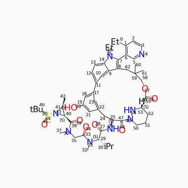 CCc1ccncc1-c1c2c3cc(ccc3n1CC)-c1cc(O)cc(c1)C[C@H](NC(=O)[C@H](C(C)C)N(C)C(=O)CN(C)C(=O)[C@@H]1[C@H](C)N1[S@@+]([O-])C(C)(C)C)C(=O)N1CCC[C@H](N1)C(=O)OCC(C)(C)C2